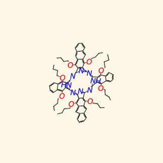 CCCCOc1c2c(c(OCCCC)c3cc4ccccc4cc13)-c1nc-2nc2[nH]c(nc3nc(nc4[nH]c(n1)c1c(OCCCC)c5ccccc5c(OCCCC)c41)-c1c-3c(OCCCC)c3cc4ccccc4cc3c1OCCCC)c1c(OCCCC)c3ccccc3c(OCCCC)c21